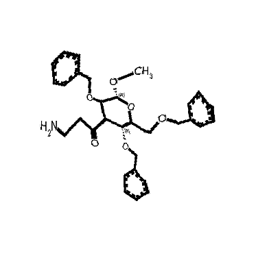 CO[C@@H]1OC(COCc2ccccc2)[C@H](OCc2ccccc2)C(C(=O)CCN)C1OCc1ccccc1